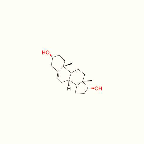 C[C@]12CC[C@H](O)CC1=CC[C@@H]1C2CC[C@@]2(C)C1CC[C@@H]2O